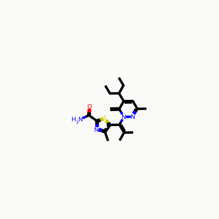 C=C1C(C(CC)CC)=CC(C)=NN1C(=C(C)C)c1sc(C(N)=O)nc1C